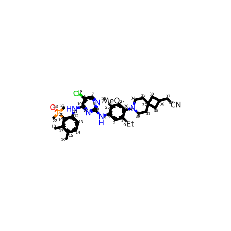 CCc1cc(Nc2ncc(Cl)c(Nc3ccc(C)c(C)c3P(C)(C)=O)n2)c(OC)cc1N1CCC2(CC1)CC(CC#N)C2